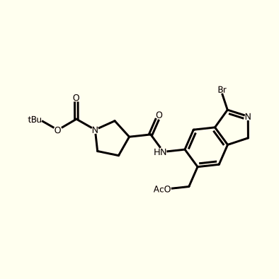 CC(=O)OCc1cc2c(cc1NC(=O)C1CCN(C(=O)OC(C)(C)C)C1)C(Br)=NC2